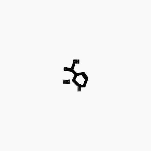 Cl.O=C(O)C1C=CCNC1